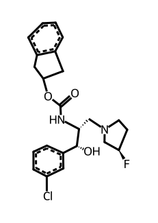 O=C(N[C@H](CN1CC[C@@H](F)C1)[C@H](O)c1cccc(Cl)c1)OC1Cc2ccccc2C1